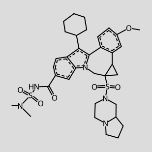 COc1ccc2c(c1)C1CC1(S(=O)(=O)N1CCN3CCCC3C1)Cn1c-2c(C2CCCCC2)c2ccc(C(=O)NS(=O)(=O)N(C)C)cc21